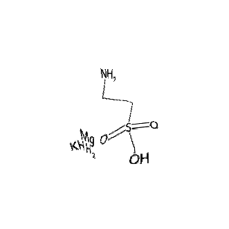 NCCS(=O)(=O)O.[KH].[MgH2]